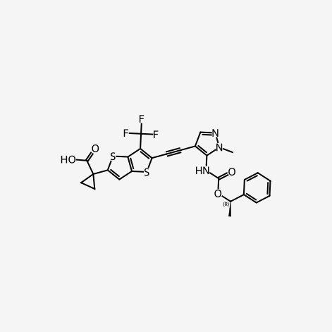 C[C@@H](OC(=O)Nc1c(C#Cc2sc3cc(C4(C(=O)O)CC4)sc3c2C(F)(F)F)cnn1C)c1ccccc1